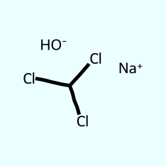 ClC(Cl)Cl.[Na+].[OH-]